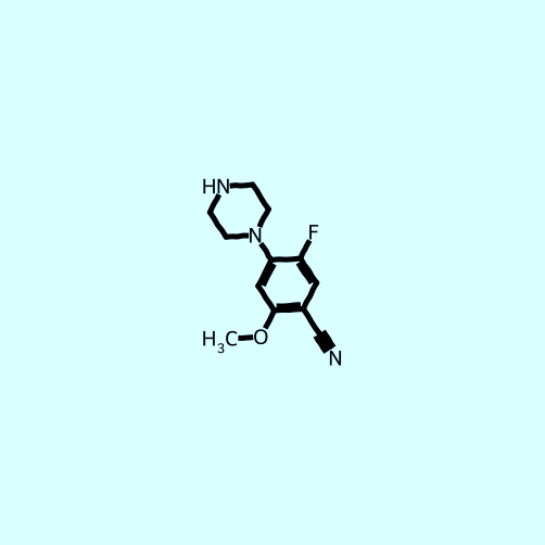 COc1cc(N2CCNCC2)c(F)cc1C#N